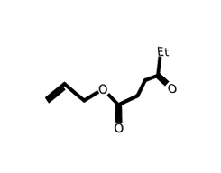 C=CCOC(=O)CCC(=O)CC